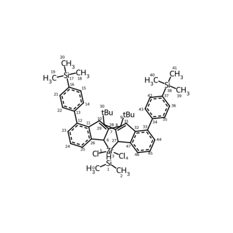 C[SiH](C)[Zr]([Cl])([Cl])([CH]1C(CC(C)(C)C)=Cc2c(-c3ccc([Si](C)(C)C)cc3)cccc21)[CH]1C(CC(C)(C)C)=Cc2c(-c3ccc([Si](C)(C)C)cc3)cccc21